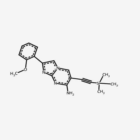 COc1ccccc1-c1cn2cc(C#C[Si](C)(C)C)c(N)nc2n1